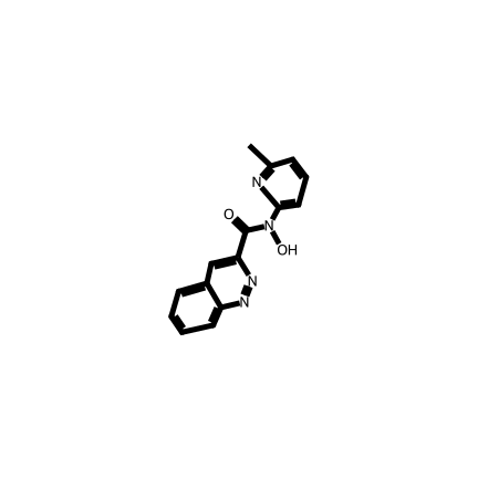 Cc1cccc(N(O)C(=O)c2cc3ccccc3nn2)n1